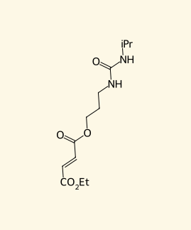 CCOC(=O)/C=C/C(=O)OCCCNC(=O)NC(C)C